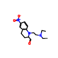 CCN(CC)CCN1c2ccc([N+](=O)[O-])cc2CCC1C=O